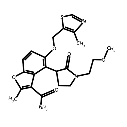 COCCN1CCC(c2c(OCc3scnc3C)ccc3oc(C)c(C(N)=O)c23)C1=O